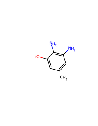 C.Nc1cccc(O)c1N